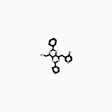 OCC1OC(c2ccccc2)OC2C(Cc3cnccc3Br)OC(c3ccccc3)OC12